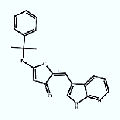 CC(C)(NC1=CC(=O)/C(=C\c2c[nH]c3ncccc23)O1)c1ccccc1